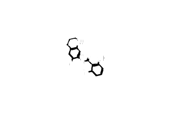 Cc1cc2c(cc1NC(=O)c1c(F)cccc1C(F)(F)F)NCCC2